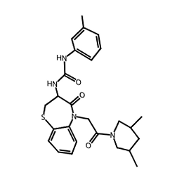 Cc1cccc(NC(=O)NC2CSc3ccccc3N(CC(=O)N3CC(C)CC(C)C3)C2=O)c1